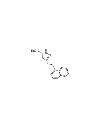 CCOC(=O)c1cc(CCc2cccc3ccccc23)n[nH]1